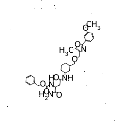 COc1cccc(-c2nc(COCC3CCCC(NC(=O)C[C@H](NC(=O)OCc4ccccc4)C(N)=O)C3)c(C)o2)c1